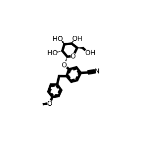 COc1ccc(Cc2ccc(C#N)cc2O[C@H]2O[C@H](CO)[C@@H](O)[C@H](O)[C@H]2O)cc1